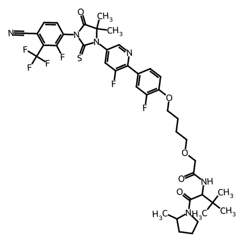 CC1CCCN1C(=O)C(NC(=O)COCCCCOc1ccc(-c2ncc(N3C(=S)N(c4ccc(C#N)c(C(F)(F)F)c4F)C(=O)C3(C)C)cc2F)cc1F)C(C)(C)C